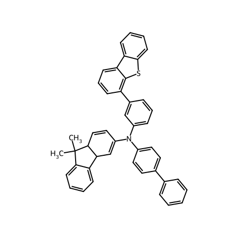 CC1(C)c2ccccc2C2C=C(N(c3ccc(-c4ccccc4)cc3)c3cccc(-c4cccc5c4sc4ccccc45)c3)C=CC21